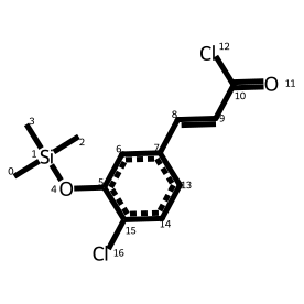 C[Si](C)(C)Oc1cc(C=CC(=O)Cl)ccc1Cl